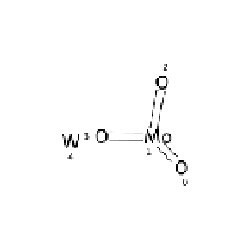 [O]=[Mo](=[O])=[O].[W]